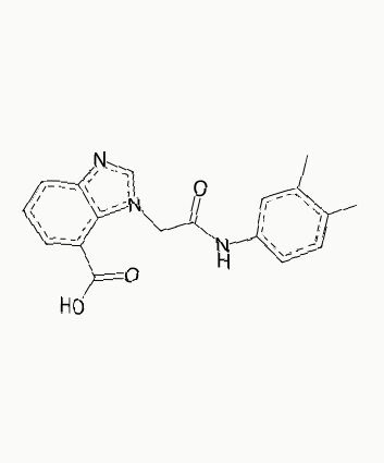 Cc1ccc(NC(=O)Cn2cnc3cccc(C(=O)O)c32)cc1C